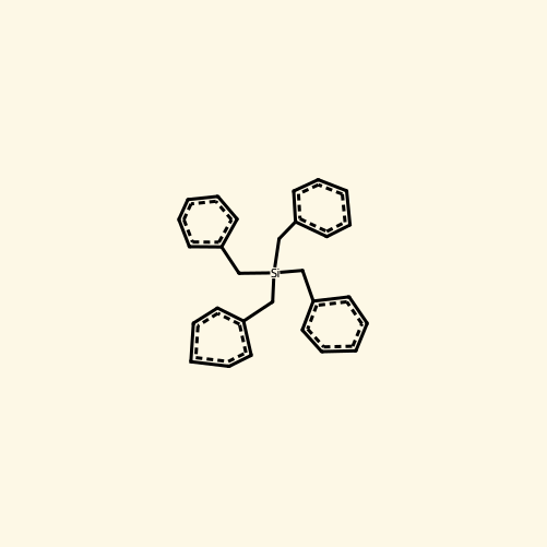 c1ccc(C[Si](Cc2ccccc2)(Cc2ccccc2)Cc2ccccc2)cc1